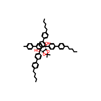 CCCCCc1ccc(-c2ccc(C(O)(c3ccc(-c4ccc(C)cc4)cc3)[C@@H]3OC(C)(C)O[C@H]3C(O)(c3ccc(-c4ccc(CCCCC)cc4)cc3)c3ccc(-c4ccc(CCCCC)cc4)cc3)cc2)cc1